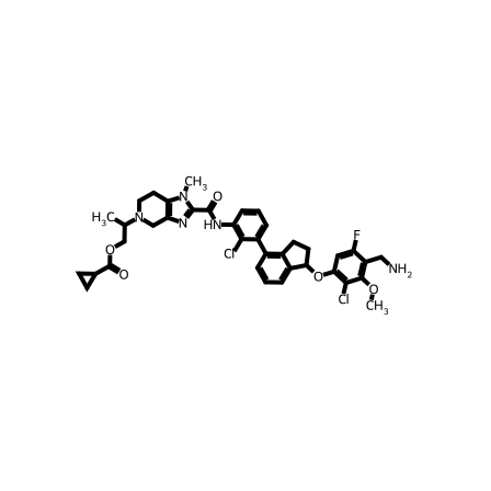 COc1c(Cl)c(OC2CCc3c(-c4cccc(NC(=O)c5nc6c(n5C)CCN(C(C)COC(=O)C5CC5)C6)c4Cl)cccc32)cc(F)c1CN